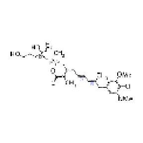 CNc1cc(C/C(C)=C/C=C/CC2C[C@@H]([C@@H](C)C[C@@](C)(O)CCCO)OC(=O)N2C)cc(OC)c1Cl